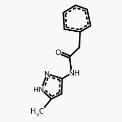 Cc1cc(NC(=O)Cc2ccccc2)n[nH]1